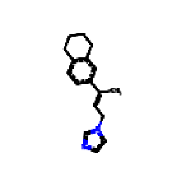 C/C(=C\Cn1ccnc1)c1ccc2c(c1)CCCC2